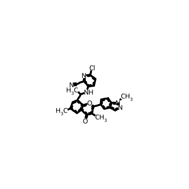 Cc1cc(C(C)Nc2ccc(Cl)nc2C#N)c2oc(-c3ccc4c(cnn4C)c3)c(C)c(=O)c2c1